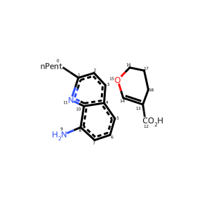 CCCCCc1ccc2cccc(N)c2n1.O=C(O)C1=COCCC1